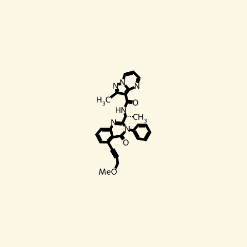 COCC#Cc1cccc2nc([C@@H](C)NC(=O)c3c(C)nn4cccnc34)n(-c3ccccc3)c(=O)c12